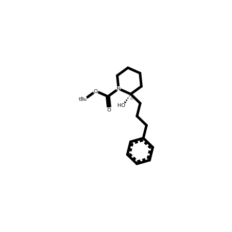 CC(C)(C)OC(=O)N1CCCC[C@@]1(O)CCCc1ccccc1